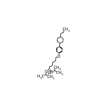 CCCC1CCC(c2ccc(OCCCCC[SiH](OC(C)C)OC(C)C)cc2)CC1